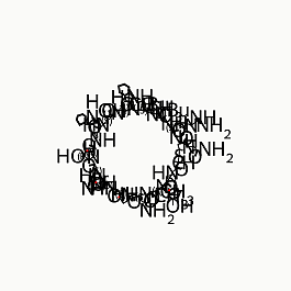 CCCC[C@H]1C(=O)N(C)[C@@H](CCCC)C(=O)N[C@@H](CCCNC(=N)N)C(=O)NC(C(=O)NCC(N)=O)CSCC(=O)N[C@@H](Cc2ccc(O)cc2)C(=O)N(C)[C@@H](C)C(=O)N[C@@H](CC(N)=O)C(=O)N2CCC[C@H]2C(=O)N[C@@H](Cc2cnc[nH]2)C(=O)N[C@@H](CC(C)C)C(=O)N2C[C@H](O)C[C@H]2C(=O)N[C@@H](Cc2c[nH]c3ccccc23)C(=O)N[C@@H](CO)C(=O)N[C@@H](Cc2c[nH]c3ccccc23)C(=O)N1C